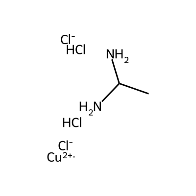 CC(N)N.Cl.Cl.[Cl-].[Cl-].[Cu+2]